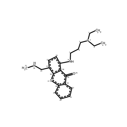 CCN(CC)CCCNc1ccc(CNC)c2sc3ccccc3c(=O)c12